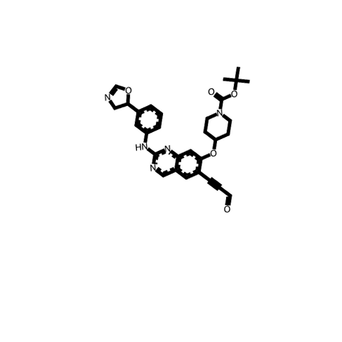 CC(C)(C)OC(=O)N1CCC(Oc2cc3nc(Nc4cccc(C5CN=CO5)c4)ncc3cc2C#CC=O)CC1